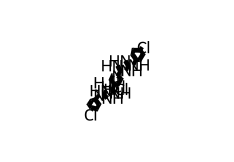 Cl.Cl.N=C(NC(=N)N1CCN(C(=N)NC(=N)Nc2ccc(Cl)cc2)CC1)Nc1ccc(Cl)cc1